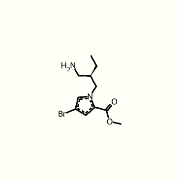 CC[C@H](CN)Cn1cc(Br)cc1C(=O)OC